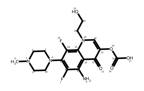 CN1CCN(c2c(F)c(N)c3c(=O)c(OC(=O)O)cn(CCO)c3c2F)CC1